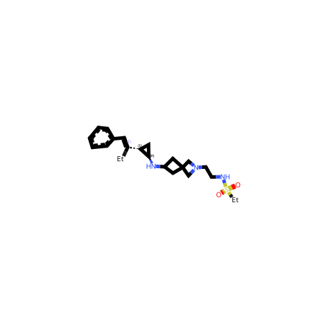 CC/C(=C\c1ccccc1)[C@@H]1C[C@H]1NC1CC2(C1)CN(CCNS(=O)(=O)CC)C2